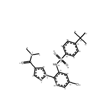 CN(C)C(=O)c1cnn(-c2ncc(Cl)cc2NS(=O)(=O)c2ccc(C(C)(C)C)cc2)c1